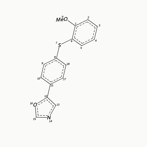 COc1ccccc1Sc1ccc(-c2cnco2)cc1